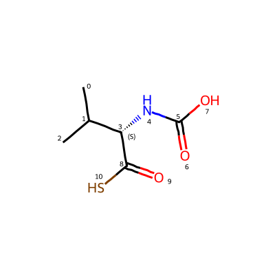 CC(C)[C@H](NC(=O)O)C(=O)S